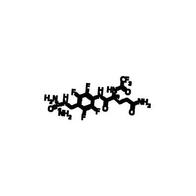 NC(=O)CC[C@H](NC(=O)C(F)(F)F)C(=O)Nc1c(F)c(F)c(CNP(N)(N)=O)c(F)c1F